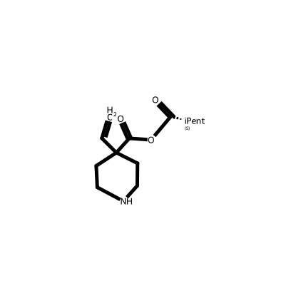 C=CC1(C(=O)OC(=O)[C@@H](C)CCC)CCNCC1